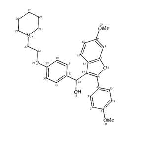 COc1ccc(-c2oc3cc(OC)ccc3c2C(O)c2ccc(OCCN3CCCCC3)cc2)cc1